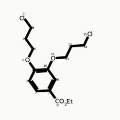 CCOC(=O)c1ccc(OCCCCl)c(OCCCCl)c1